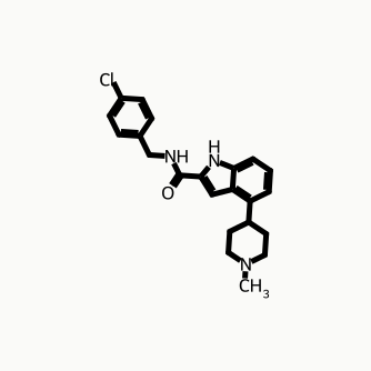 CN1CCC(c2cccc3[nH]c(C(=O)NCc4ccc(Cl)cc4)cc23)CC1